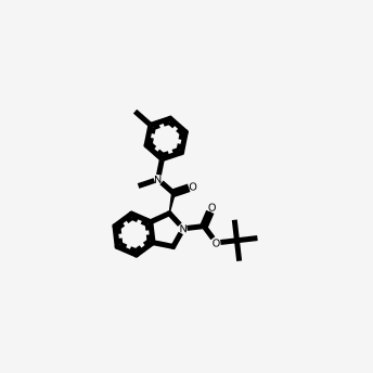 Cc1cccc(N(C)C(=O)[C@@H]2c3ccccc3CN2C(=O)OC(C)(C)C)c1